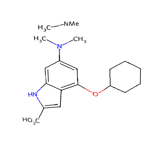 CN(C)c1cc(OC2CCCCC2)c2cc(C(=O)O)[nH]c2c1.CNC